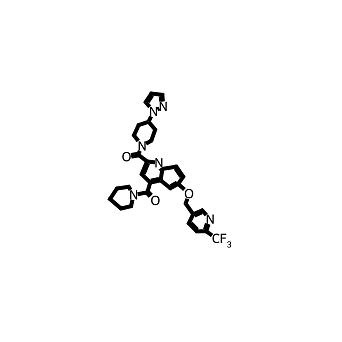 O=C(c1cc(C(=O)N2CCCCC2)c2cc(OCc3ccc(C(F)(F)F)nc3)ccc2n1)N1CCC(n2cccn2)CC1